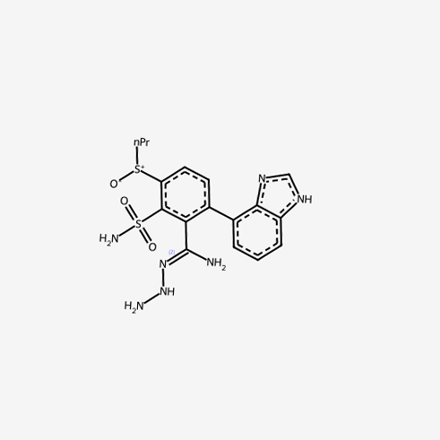 CCC[S+]([O-])c1ccc(-c2cccc3[nH]cnc23)c(/C(N)=N/NN)c1S(N)(=O)=O